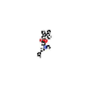 Cc1ccc(C2=CC=C(N(c3ccccc3)c3ccc4c(c3)Oc3c(ccc5c3-c3ccccc3C53c5ccccc5-c5ccccc53)O4)CC2)cc1C